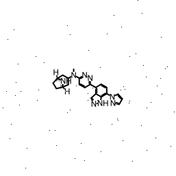 CN(c1ccc(-c2ccc(-n3cccn3)c3[nH]ncc23)nn1)C1C[C@H]2CC[C@@H](C1)N2